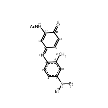 CCN(CC)c1ccc(N=C2C=CC(=O)C(NC(C)=O)=C2)c(C)c1